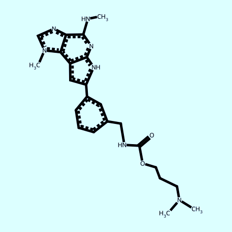 CNc1nc2[nH]c(-c3cccc(CNC(=O)OCCCN(C)C)c3)cc2c2c1ncn2C